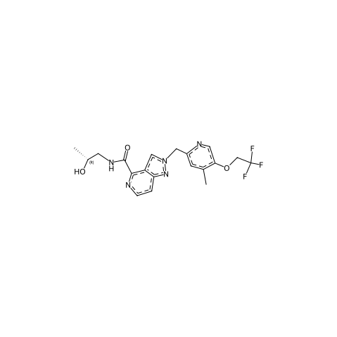 Cc1cc(Cn2cc3c(C(=O)NC[C@@H](C)O)nccc3n2)ncc1OCC(F)(F)F